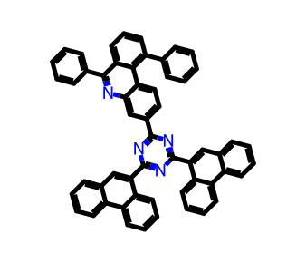 c1ccc(-c2nc3cc(-c4nc(-c5cc6ccccc6c6ccccc56)nc(-c5cc6ccccc6c6ccccc56)n4)ccc3c3c(-c4ccccc4)cccc23)cc1